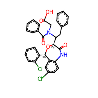 O=C(O)CN(C(=O)c1ccccc1)C(Cc1ccccc1)[C@@H]1O[C@@H](c2ccccc2Cl)c2cc(Cl)ccc2NC1=O